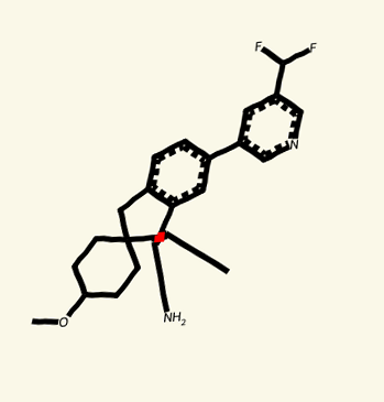 COC1CCC2(CC1)Cc1ccc(-c3cncc(C(F)F)c3)cc1C21N=C(C)C(N)=N1